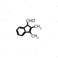 CC1=C(C)C(C=O)c2ccccc21